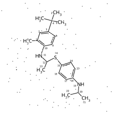 Cc1cc(C(C)(C)C)ccc1NC(C)Sc1ccc(NC(C)C)cc1